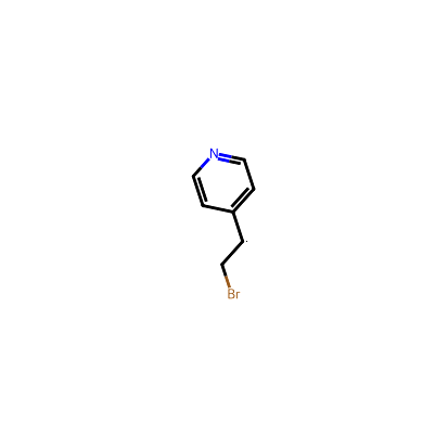 BrC[CH]c1ccncc1